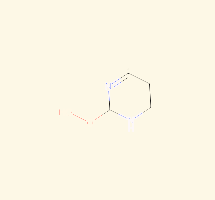 OOC1N=CCCN1